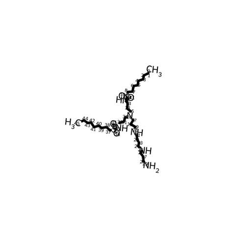 CCCCCCCCCS(=O)(=O)NCCCN(CCCNCCCCNCCCN)CCCNS(=O)(=O)CCCCCCCCC